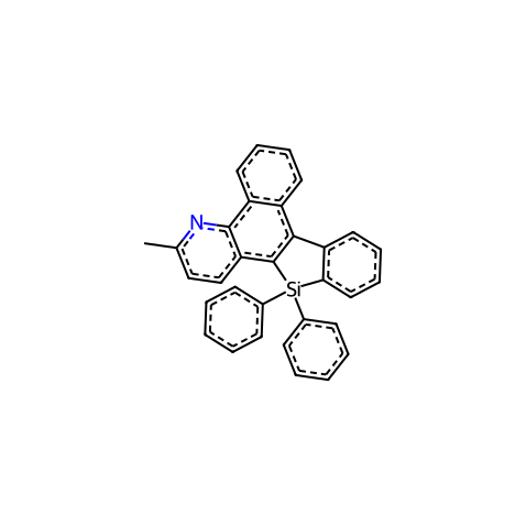 Cc1ccc2c3c(c4ccccc4c2n1)-c1ccccc1[Si]3(c1ccccc1)c1ccccc1